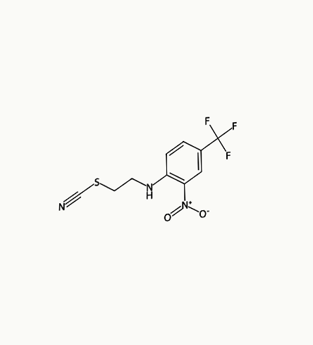 N#CSCCNc1ccc(C(F)(F)F)cc1[N+](=O)[O-]